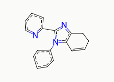 C1=Cc2c(nc(-c3ccccn3)n2-c2ccccc2)CC1